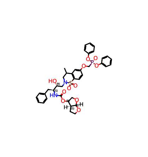 CC1CN(C[C@@H](O)[C@H](Cc2ccccc2)NC(=O)O[C@H]2CO[C@H]3OCC[C@H]32)S(=O)(=O)c2ccc(OCP(=O)(Oc3ccccc3)Oc3ccccc3)cc21